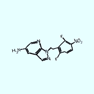 Nc1cnc2c(cnn2Cc2c(F)ccc([N+](=O)[O-])c2F)c1